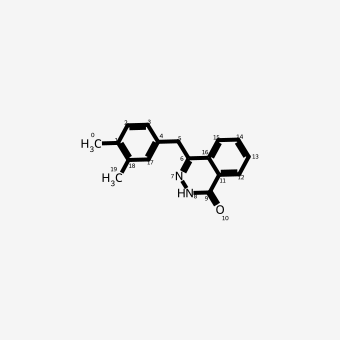 Cc1ccc(Cc2n[nH]c(=O)c3ccccc23)cc1C